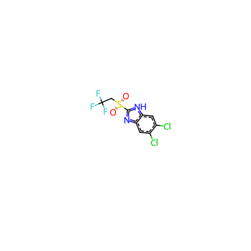 O=S(=O)(CC(F)(F)F)c1nc2cc(Cl)c(Cl)cc2[nH]1